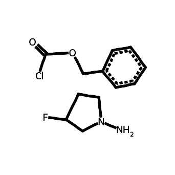 NN1CCC(F)C1.O=C(Cl)OCc1ccccc1